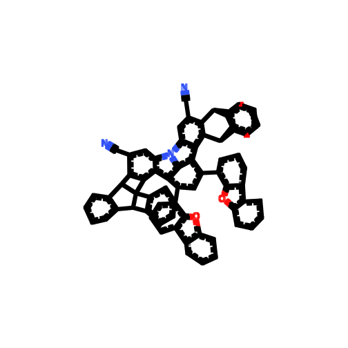 N#Cc1cc2c(c3c1C1c4ccccc4C3c3ccccc31)c1c(-c3cccc4c3oc3ccccc34)cc(-c3cccc4c3oc3ccccc34)c3c4c5c(c(C#N)cc4n2c13)C1c2ccccc2C2c3ccccc3C521